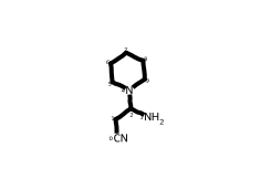 N#CCC(N)N1CCCCC1